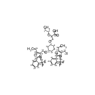 CCCOC(CO[C@@H]1CCC[C@H](OCc2nc(-c3ccccc3C(F)(F)F)oc2CC)C1)C(=O)O.CCc1oc(-c2ccccc2C(F)(F)F)nc1CI